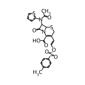 CC(=O)N(c1cccs1)C1C(=O)N2C(C(=O)O)=C(C=COS(=O)(=O)c3ccc(C)cc3)CSC12